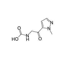 Cn1nccc1C(=O)CNC(=O)O